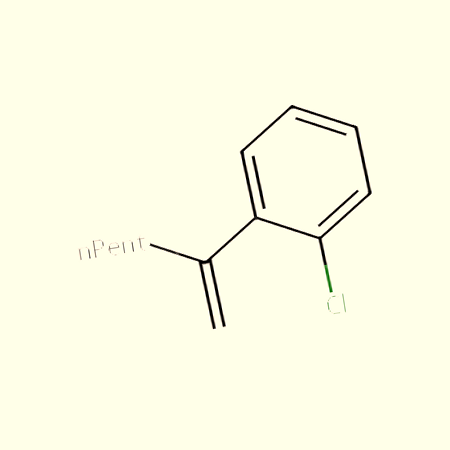 C=C(CCCCC)c1ccccc1Cl